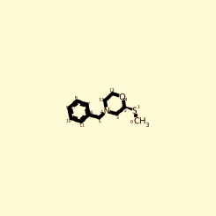 CS[C@H]1CN(Cc2ccccc2)CCO1